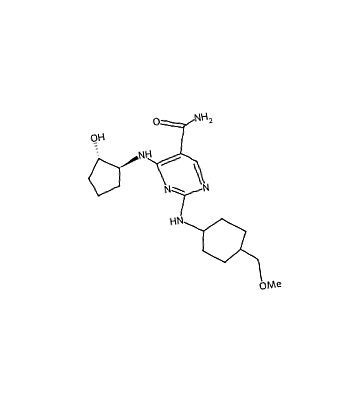 COCC1CCC(Nc2ncc(C(N)=O)c(N[C@H]3CCC[C@@H]3O)n2)CC1